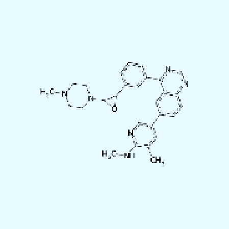 CNc1ncc(-c2ccc3ncnc(-c4cccc(C5OC5N5CCN(C)CC5)c4)c3c2)cc1C